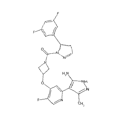 Cc1n[nH]c(N)c1-c1cc(OC2CN(C(=O)N3N=CCC3c3cc(F)cc(F)c3)C2)c(F)cn1